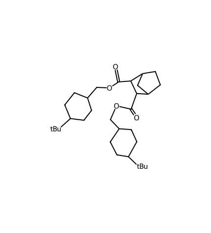 CC(C)(C)C1CCC(COC(=O)C2C3CCC(C3)C2C(=O)OCC2CCC(C(C)(C)C)CC2)CC1